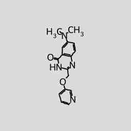 CN(C)c1ccc2nc(COc3cccnc3)[nH]c(=O)c2c1